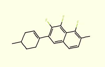 Cc1ccc2cc(C3=CCC(C)CC3)c(F)c(F)c2c1F